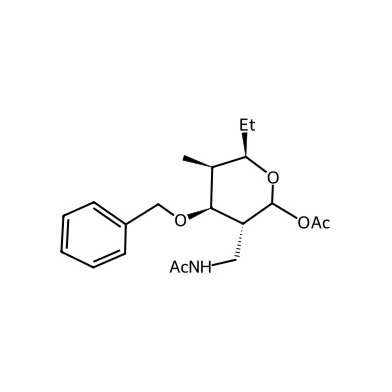 CC[C@H]1OC(OC(C)=O)[C@H](CNC(C)=O)[C@@H](OCc2ccccc2)[C@H]1C